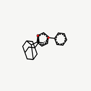 O=C(OCc1ccccc1)C12CC3CC(C1)C(c1ccccc1)C(C3)C2